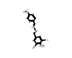 CCCCc1ccc(C=NN=Cc2cc(F)c(C#N)c(F)c2)cc1